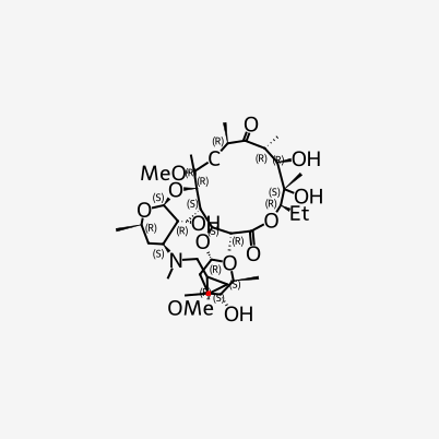 CC[C@H]1OC(=O)[C@H](C)[C@@H](O[C@H]2C[C@@](C)(OC)[C@@H](O)[C@H](C)O2)[C@H](C)[C@@H](O[C@@H]2O[C@H](C)C[C@H](N(C)CC3CC3)[C@H]2O)[C@](C)(OC)C[C@@H](C)C(=O)[C@H](C)[C@@H](O)[C@]1(C)O